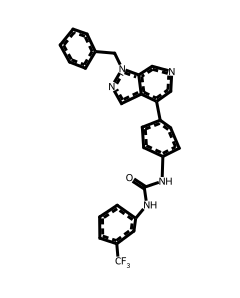 O=C(Nc1ccc(-c2cncc3c2cnn3Cc2ccccc2)cc1)Nc1cccc(C(F)(F)F)c1